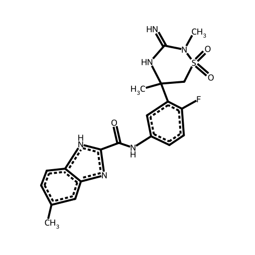 Cc1ccc2[nH]c(C(=O)Nc3ccc(F)c(C4(C)CS(=O)(=O)N(C)C(=N)N4)c3)nc2c1